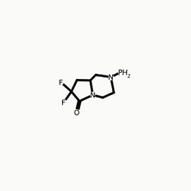 O=C1N2CCN(P)CC2CC1(F)F